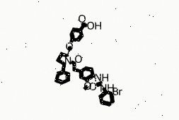 COc1cc(CC(=O)N2C(c3ccccc3)CC[C@H]2COc2ccc(C(=O)O)cc2)ccc1NC(=O)Nc1ccccc1Br